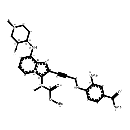 CNC(=O)c1ccc(NCC#Cc2nc3c(N[C@@H]4CCN(C)C[C@@H]4F)cccn3c2N(C)C(=O)OC(C)(C)C)c(OC)c1